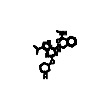 CNC(=O)c1ccccc1CNc1nc(O[C@@H]2CCCNC2)nc2c(C(C)C)cnn12